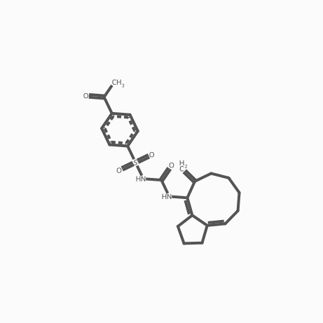 C=C1CCCC/C=C2/CCC/C2=C/1NC(=O)NS(=O)(=O)c1ccc(C(C)=O)cc1